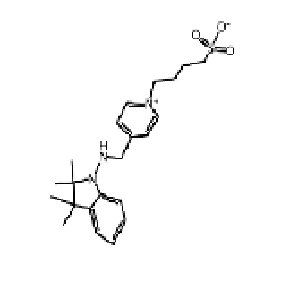 CC1(C)c2ccccc2N(NCc2cc[n+](CCCCS(=O)(=O)[O-])cc2)C1(C)C